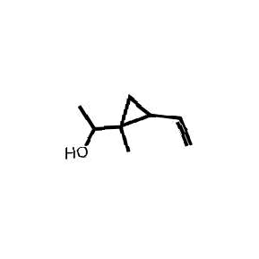 C=CC1CC1(C)C(C)O